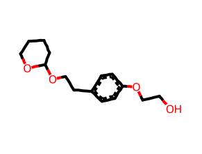 OCCOc1ccc(CCOC2CCCCO2)cc1